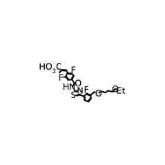 CCOCCCCOCc1cccc(-c2csc(NC(=O)c3cc(F)c(/C=C(\C)C(=O)O)c(F)c3)n2)c1F